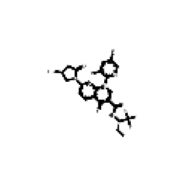 CC[C@@H](NC(=O)c1cn(-c2ncc(F)cc2F)c2nc(N3CC(O)CC3=O)ccc2c1=O)C(F)(F)F